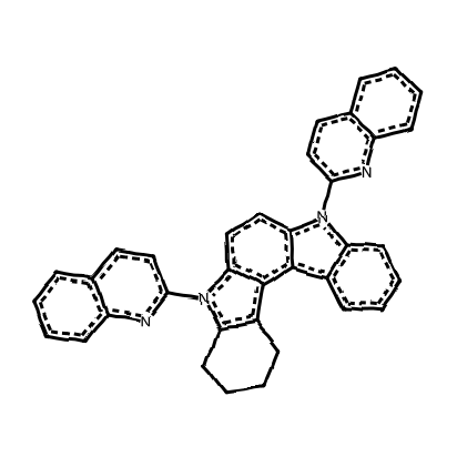 c1ccc2nc(-n3c4c(c5c6c7ccccc7n(-c7ccc8ccccc8n7)c6ccc53)CCCC4)ccc2c1